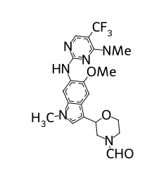 CNc1nc(Nc2cc3c(cc2OC)c(C2CN(C=O)CCO2)cn3C)ncc1C(F)(F)F